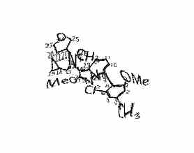 COc1cc(C)cc(Cl)c1-c1cccc2c([N+](C)(CC3CC3)C3CCOC3)c(OC)nn12